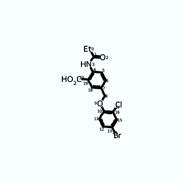 CCC(=O)Nc1ccc(COc2ccc(Br)cc2Cl)cc1C(=O)O